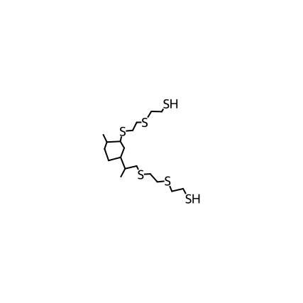 CC(CSCCSCCS)C1CCC(C)C(SCCSCCS)C1